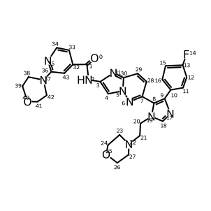 O=C(Nc1cn2nc(-c3c(-c4ccc(F)cc4)ncn3CCN3CCOCC3)ccc2n1)c1ccnc(N2CCOCC2)c1